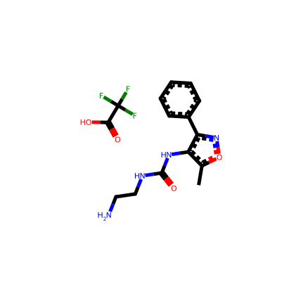 Cc1onc(-c2ccccc2)c1NC(=O)NCCN.O=C(O)C(F)(F)F